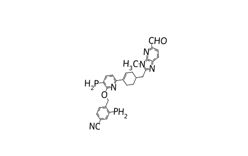 Cn1c(CC2CC=C(c3ccc(P)c(OCc4ccc(C#N)cc4P)n3)CC2)nc2ccc(C=O)nc21